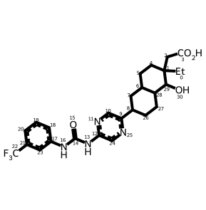 CCC1(CC(=O)O)CCC2CC(c3cnc(NC(=O)Nc4cccc(C(F)(F)F)c4)cn3)CCC2C1O